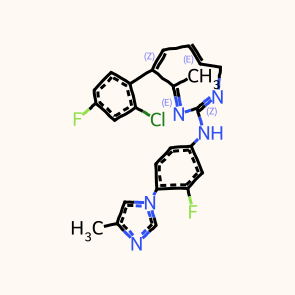 CC1=N\C(Nc2ccc(-n3cnc(C)c3)c(F)c2)=N/C/C=C/C=C\1c1ccc(F)cc1Cl